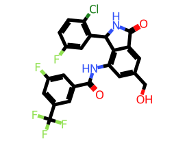 O=C(Nc1cc(CO)cc2c1C(c1cc(F)ccc1Cl)NC2=O)c1cc(F)cc(C(F)(F)F)c1